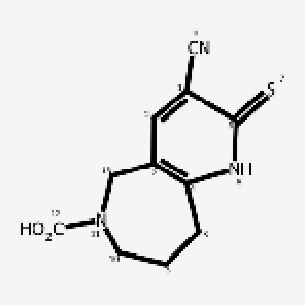 N#Cc1cc2c([nH]c1=S)CCCN(C(=O)O)C2